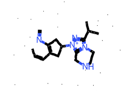 C=NC1=C(/C=C\C)CC([n+]2nc(C(C)C)n3c2CNCC3)C1